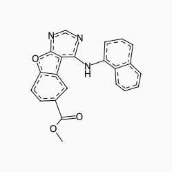 COC(=O)c1ccc2oc3ncnc(Nc4cccc5ccccc45)c3c2c1